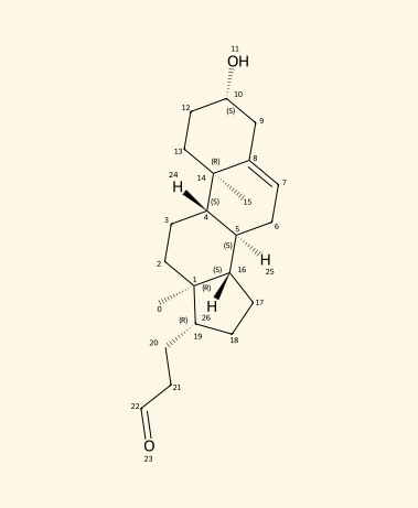 C[C@]12CC[C@H]3[C@@H](CC=C4C[C@@H](O)CC[C@@]43C)[C@@H]1CC[C@@H]2CCC=O